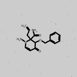 C=CCC1(C(N)=O)C(OCc2ccccc2)C(=O)C=CN1N